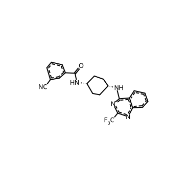 N#Cc1cccc(C(=O)N[C@H]2CC[C@@H](Nc3nc(C(F)(F)F)nc4ccccc34)CC2)c1